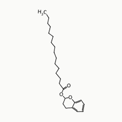 CCCCCCCCCCCCCCCC(=O)OC1CCc2ccccc2O1